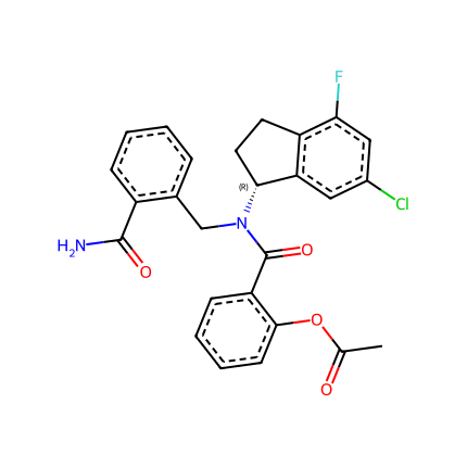 CC(=O)Oc1ccccc1C(=O)N(Cc1ccccc1C(N)=O)[C@@H]1CCc2c(F)cc(Cl)cc21